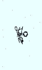 C1=CN=CC([C@@H]2N=C(COC3CCCCC3)N[C@@H]2c2ccccc2)C1